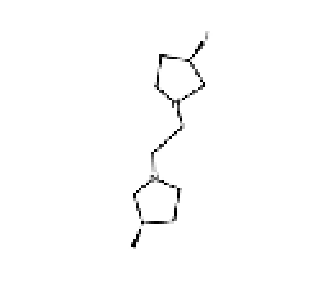 C[C@@H]1CCN(CCN2CC[C@@H](F)C2)C1